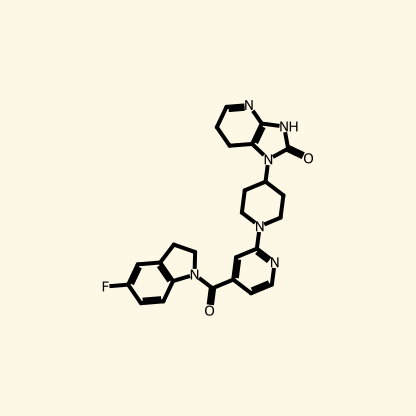 O=C(c1ccnc(N2CCC(n3c4c([nH]c3=O)N=CCC4)CC2)c1)N1CCc2cc(F)ccc21